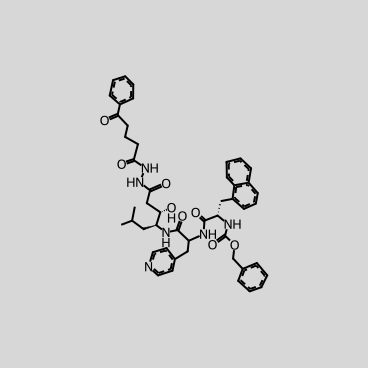 CC(C)C[C@H](NC(=O)C(Cc1ccncc1)NC(=O)[C@H](Cc1cccc2ccccc12)NC(=O)OCc1ccccc1)[C@@H](O)CC(=O)NNC(=O)CCCC(=O)c1ccccc1